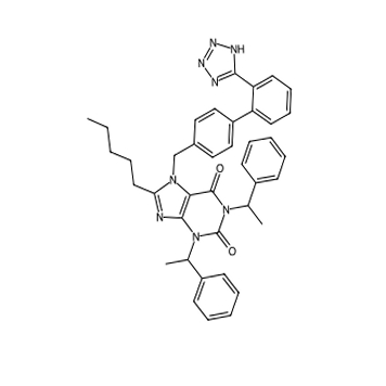 CCCCCc1nc2c(c(=O)n(C(C)c3ccccc3)c(=O)n2C(C)c2ccccc2)n1Cc1ccc(-c2ccccc2-c2nnn[nH]2)cc1